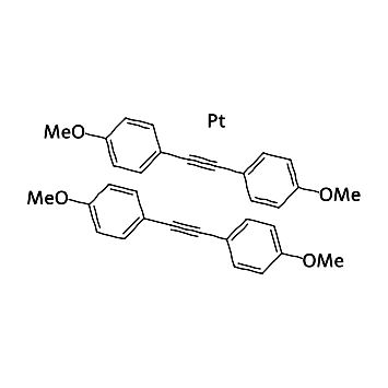 COc1ccc(C#Cc2ccc(OC)cc2)cc1.COc1ccc(C#Cc2ccc(OC)cc2)cc1.[Pt]